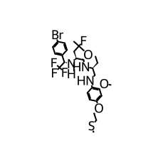 CC[C@@H](CNc1ccc(OCCSC)cc1OC)NC(=O)[C@H](CC(C)(C)F)N[C@@H](c1ccc(Br)cc1)C(F)(F)F